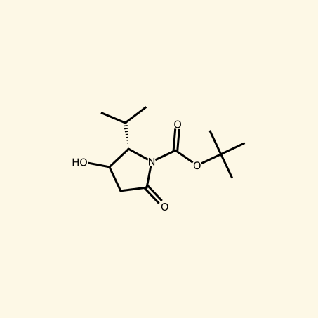 CC(C)[C@H]1C(O)CC(=O)N1C(=O)OC(C)(C)C